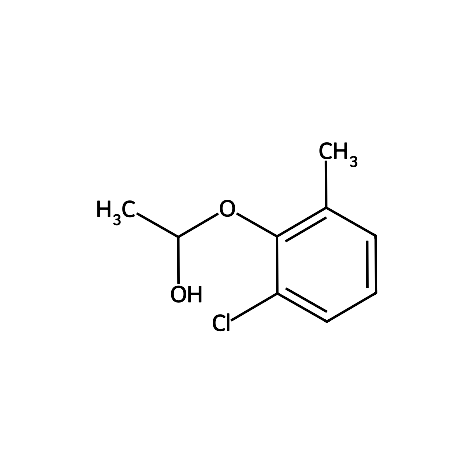 Cc1cccc(Cl)c1OC(C)O